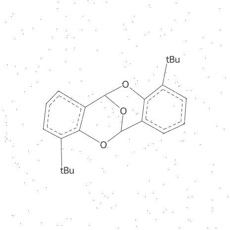 CC(C)(C)c1cccc2c1OC1OC2Oc2c1cccc2C(C)(C)C